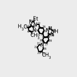 CCc1nc2c(C)cc(C)nc2n1Cc1ccc(-c2cc(N3CCC[C@@H](C)C3)ccc2-c2nn[nH]n2)cc1